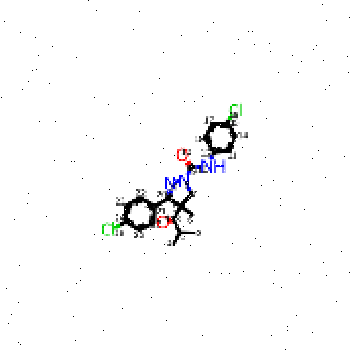 CC(C)C(=O)C1(C)CN(C(=O)Nc2ccc(Cl)cc2)N=C1c1ccc(Cl)cc1